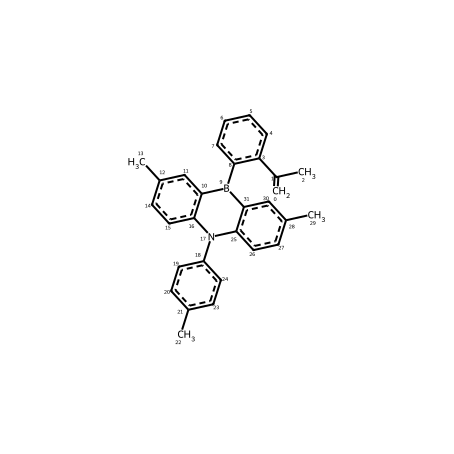 C=C(C)c1ccccc1B1c2cc(C)ccc2N(c2ccc(C)cc2)c2ccc(C)cc21